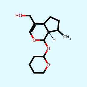 CC1CCC2C(CO)=COC(OC3CCCCO3)[C@H]12